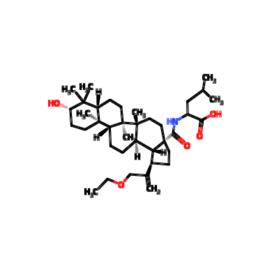 C=C(COCC)[C@@H]1CC[C@]2(C(=O)NC(CC(C)C)C(=O)O)CC[C@]3(C)[C@H](CC[C@@H]4[C@@]5(C)CC[C@H](O)C(C)(C)[C@@H]5CC[C@]43C)[C@@H]12